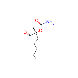 CCCCC[C@](C)(C=O)OC(N)=O